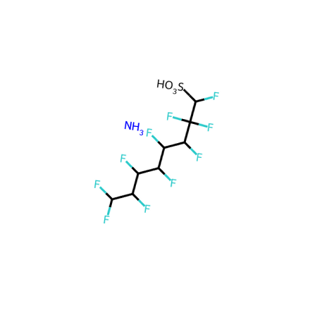 N.O=S(=O)(O)C(F)C(F)(F)C(F)C(F)C(F)C(F)C(F)C(F)F